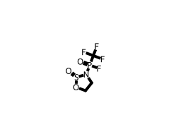 O=S1OCCN1P(=O)(F)C(F)(F)F